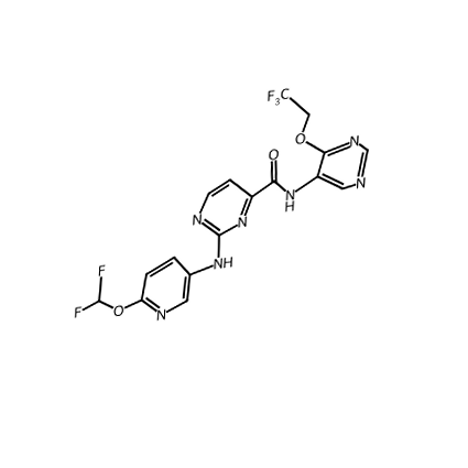 O=C(Nc1cncnc1OCC(F)(F)F)c1ccnc(Nc2ccc(OC(F)F)nc2)n1